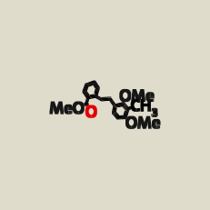 COC(=O)c1ccccc1C=Cc1ccc(OC)c(C)c1OC